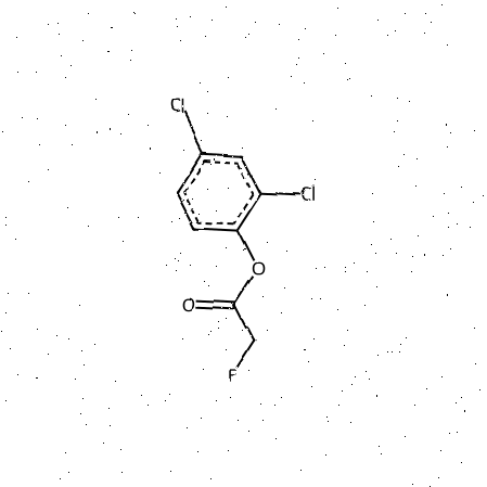 O=C(CF)Oc1ccc(Cl)cc1Cl